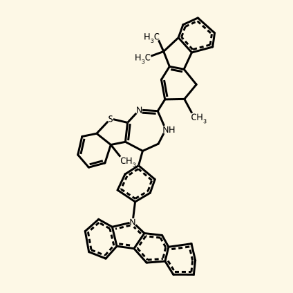 CC1CC2=C(C=C1C1=NC3=C(C(c4ccc(-n5c6ccccc6c6cc7ccccc7cc65)cc4)CN1)C1(C)C=CC=CC1S3)C(C)(C)c1ccccc12